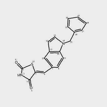 O=C1NC(=O)C(=Cc2ccc3c(ccn3Cc3ccccc3)c2)S1